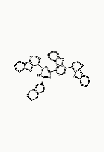 c1ccc2cc(C3=NC(c4ccc(-c5cccc6c5oc5ccccc56)c5oc6ccccc6c45)=NC(c4cccc5c4oc4ccccc45)N3)ccc2c1